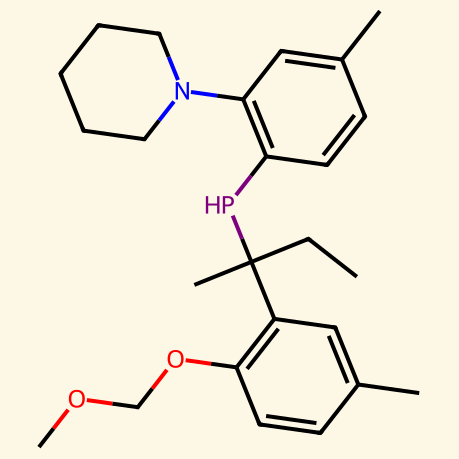 CCC(C)(Pc1ccc(C)cc1N1CCCCC1)c1cc(C)ccc1OCOC